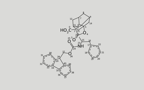 O=C(O)CP(=O)(OC12CC3CC(CC(C3)C1)C2)C(Cc1ccccc1)NC(=O)OCC1c2ccccc2-c2ccccc21